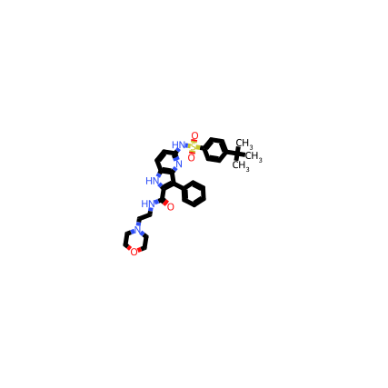 CC(C)(C)c1ccc(S(=O)(=O)Nc2ccc3[nH]c(C(=O)NCCN4CCOCC4)c(-c4ccccc4)c3n2)cc1